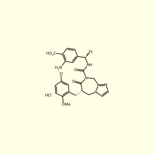 CC[C@@H](NC(=O)N1Cc2nccn2C[C@H](Cc2cc(Cl)ccc2OC)C1=O)c1ccc(C(=O)O)c(N)c1.Cl